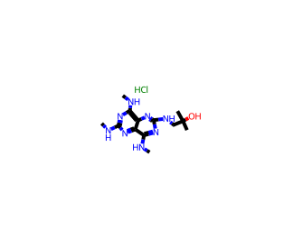 CNc1nc(NC)c2nc(NCC(C)(C)O)nc(NC)c2n1.Cl